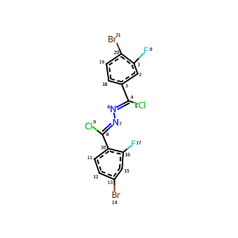 Fc1cc(C(Cl)=NN=C(Cl)c2ccc(Br)cc2F)ccc1Br